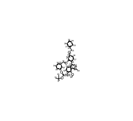 COc1c(NC(=O)OC(C)(C)C)ccc2c(-c3ccc(OCc4ccccc4)nc3OCc3ccccc3)nn(C)c12